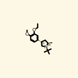 CCOc1cc([C@@H]2C[C@@H](C)N(C(C)(C)C)C2)ccc1OC